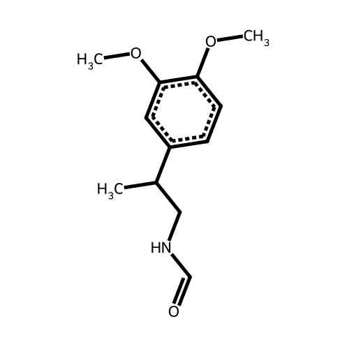 COc1ccc(C(C)CNC=O)cc1OC